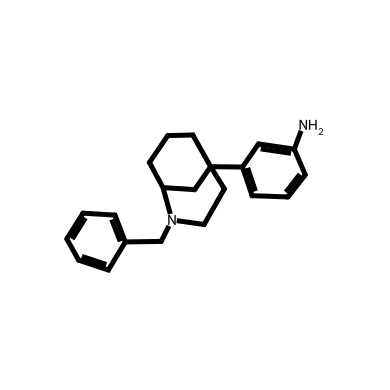 Nc1cccc(C23CCCC(C2)N(Cc2ccccc2)CC3)c1